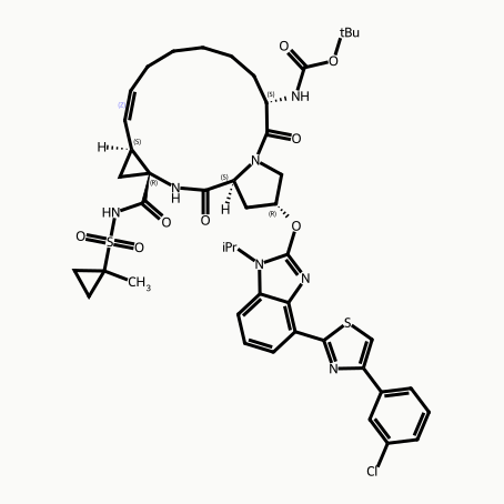 CC(C)n1c(O[C@@H]2C[C@H]3C(=O)N[C@]4(C(=O)NS(=O)(=O)C5(C)CC5)C[C@H]4/C=C\CCCCC[C@H](NC(=O)OC(C)(C)C)C(=O)N3C2)nc2c(-c3nc(-c4cccc(Cl)c4)cs3)cccc21